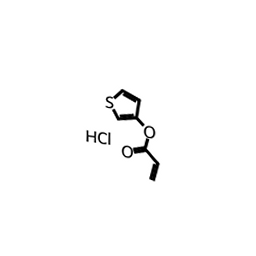 C=CC(=O)Oc1ccsc1.Cl